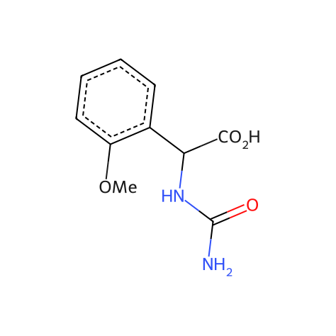 COc1ccccc1C(NC(N)=O)C(=O)O